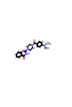 CN(c1ccc(C(=O)N2CCN(c3nc4ccccc4c(=O)[nH]3)CC2)cc1)C(C)(C)C